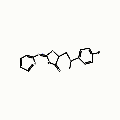 CN(CC1S/C(=N/c2ccccn2)NC1=O)c1ccc(F)cc1